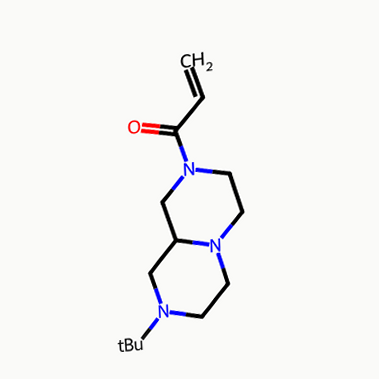 C=CC(=O)N1CCN2CCN(C(C)(C)C)CC2C1